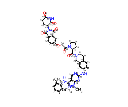 Cc1cccc(C)c1Nc1nn(C)c2nc(Nc3ccc4c(c3)CN(C(=O)C3CCCN3C(=O)COc3ccc5c(c3)C(=O)N(C3CCC(=O)NC3=O)C5=O)CC4)ncc12